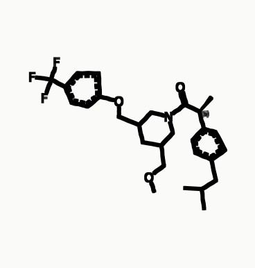 COCC1CC(COc2ccc(C(F)(F)F)cc2)CN(C(=O)[C@@H](C)c2ccc(CC(C)C)cc2)C1